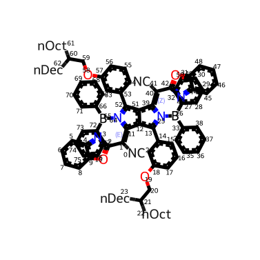 [C-]#[N+]/C(c1nc2ccccc2o1)=c1\c2c(-c3cccc(OCC(CCCCCCCC)CCCCCCCCCC)c3)n(B(c3ccccc3)c3ccccc3)/c(=C(/C#N)c3nc4ccccc4o3)c2c(-c2cccc(OCC(CCCCCCCC)CCCCCCCCCC)c2)n1B(c1ccccc1)c1ccccc1